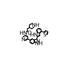 O=C(CC1CCNCC1)Nc1cncc(-c2ccc3[nH]nc(-c4cc5c(-c6cccs6)cccc5[nH]4)c3c2)c1